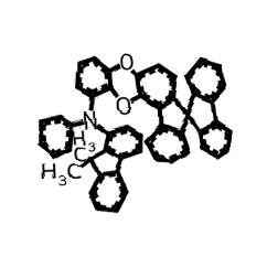 CC1(C)c2ccccc2-c2cccc(N(c3ccccc3)c3cccc4c3Oc3c(ccc5c3-c3ccccc3C53c5ccccc5-c5ccccc53)O4)c21